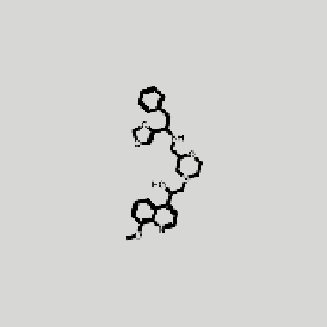 COc1cccc2c(C(O)CN3CCOC(CNC(Cc4ccccc4)C4=COCO4)C3)ccnc12